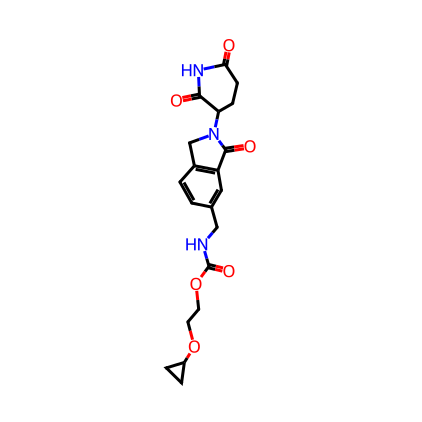 O=C1CCC(N2Cc3ccc(CNC(=O)OCCOC4CC4)cc3C2=O)C(=O)N1